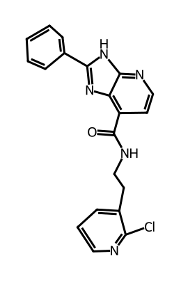 O=C(NCCc1cccnc1Cl)c1ccnc2[nH]c(-c3ccccc3)nc12